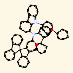 c1ccc(-c2ccc(-n3c4ccccc4c4cccc(N(c5ccc6c(c5)C5(c7ccccc7-c7ccccc75)c5ccccc5-6)c5ccccc5-c5ccccc5)c43)cc2)cc1